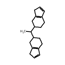 CC(C1CCC2=C(CC=C2)C1)C1CCC2=C(CC=C2)C1